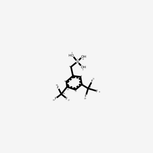 O[Si](O)(O)Cc1cc(C(F)(F)F)cc(C(F)(F)F)c1